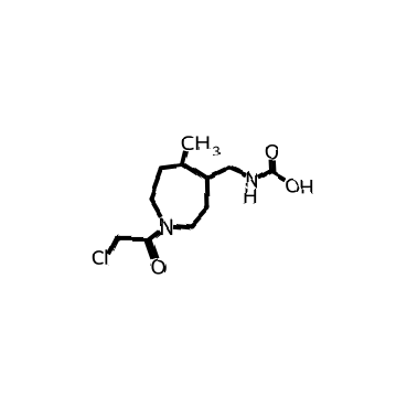 CC1CCN(C(=O)CCl)CCC1CNC(=O)O